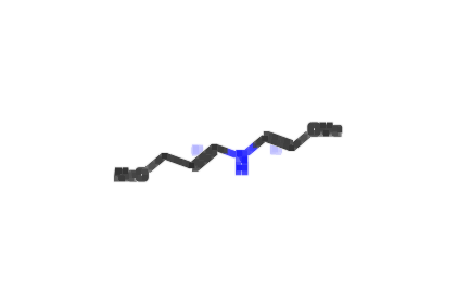 CO/C=C/N/C=C/COC